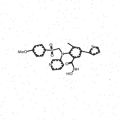 COc1ccc(S(=O)(=O)CN(c2cccnc2)c2c(C)cc(-c3cccs3)cc2C(=O)NO)cc1